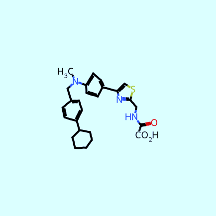 CN(Cc1ccc(C2CCCCC2)cc1)c1ccc(-c2csc(CNC(=O)C(=O)O)n2)cc1